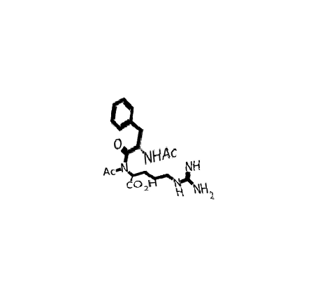 CC(=O)N[C@@H](Cc1ccccc1)C(=O)N(C(C)=O)[C@@H](CCCNC(=N)N)C(=O)O